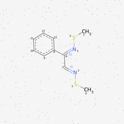 CS/N=C/C(=N/SC)c1ccccc1